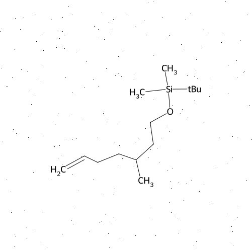 C=CCCC(C)CCO[Si](C)(C)C(C)(C)C